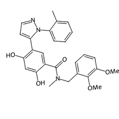 COc1cccc(CN(C)C(=O)c2cc(-c3ccnn3-c3ccccc3C)c(O)cc2O)c1OC